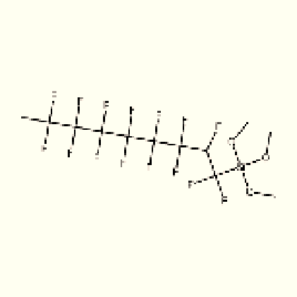 CO[Si](OC)(OC)C(F)(F)C(F)C(F)(F)C(F)(F)C(F)(F)C(F)(F)C(F)(F)C(F)(F)F